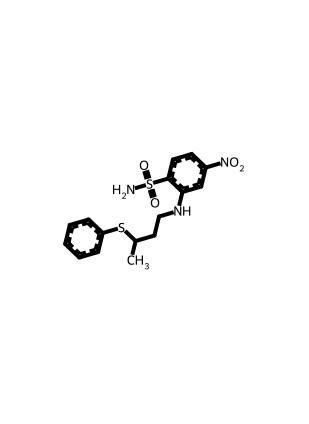 CC(CCNc1cc([N+](=O)[O-])ccc1S(N)(=O)=O)Sc1ccccc1